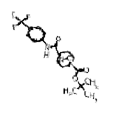 CC(C)(C)OC(=O)N1CC2CCC1CN2C(=O)Nc1ccc(C(F)(F)F)cc1